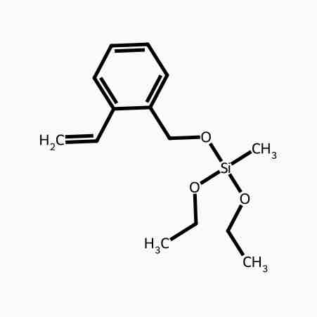 C=Cc1ccccc1CO[Si](C)(OCC)OCC